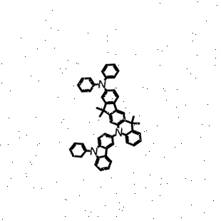 CC1(C)c2cc(N(c3ccccc3)c3ccccc3)ccc2-c2cc3c(cc21)N(c1ccc2c(c1)c1ccccc1n2C1=CC=CCC1)c1ccccc1C3(C)C